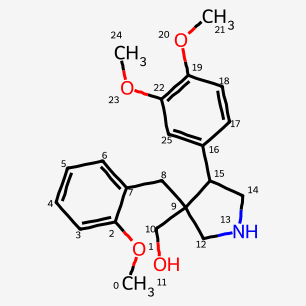 COc1ccccc1CC1(CO)CNCC1c1ccc(OC)c(OC)c1